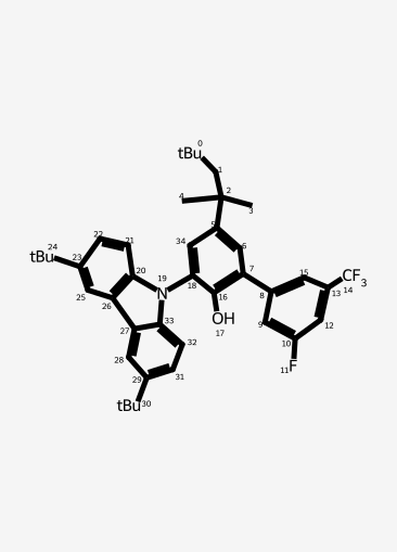 CC(C)(C)CC(C)(C)c1cc(-c2cc(F)cc(C(F)(F)F)c2)c(O)c(-n2c3ccc(C(C)(C)C)cc3c3cc(C(C)(C)C)ccc32)c1